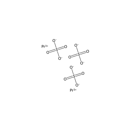 O=S(=O)([O-])[O-].O=S(=O)([O-])[O-].O=S(=O)([O-])[O-].[Pr+3].[Pr+3]